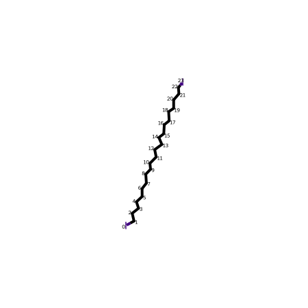 ICCCCCCCCCCCCCCCCCCCCCCI